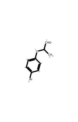 CC([C]=O)Oc1ccc(C(C)C)cc1